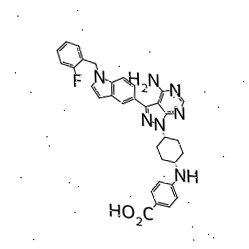 Nc1ncnc2c1c(-c1ccc3c(ccn3Cc3ccccc3F)c1)nn2[C@H]1CC[C@@H](Nc2ccc(C(=O)O)cc2)CC1